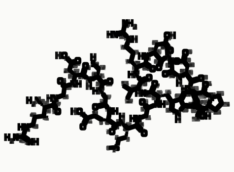 CSCC[C@H](NC(=O)[C@H](CCC(=O)O)NC(=O)CNC(=O)[C@H](CS)NC(=O)[C@H](CC(=O)O)NC(=O)CNC(=O)[C@@H](N)CCCNC(=N)N)C(=O)NCC(=O)N[C@@H](Cc1c[nH]c2ccccc12)C(=O)N[C@H](C(=O)N[C@@H](CCCNC(=N)N)C(=O)N[C@@H](CC(=O)O)C(=O)N[C@@H](C)C(=O)N[C@@H](CC(=O)O)C(=O)N[C@@H](CC(C)C)C(=O)N1CCC[C@H]1C(=O)O)C(C)C